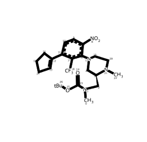 CN(C[C@H]1CN(c2c([N+](=O)[O-])ccc(C3=CCCC3)c2C(F)(F)F)CCN1C)C(=O)OC(C)(C)C